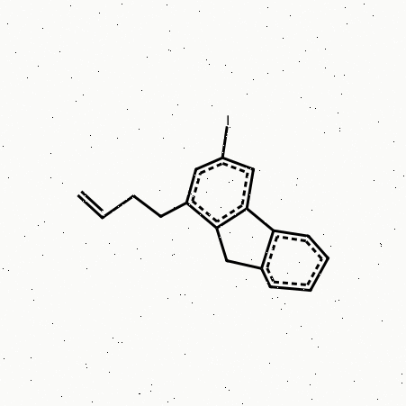 C=CCCc1cc(I)cc2c1Cc1ccccc1-2